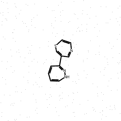 C1=CNN=C(C2=CSC=CN=C2)C=C1